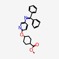 COC(=O)C1CCC(Oc2ccc(N=C(c3ccccc3)c3ccccc3)cn2)CC1